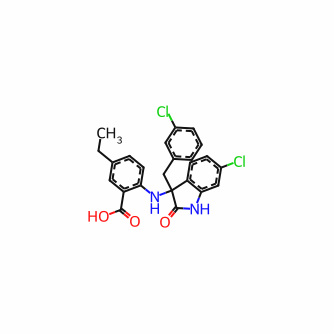 CCc1ccc(NC2(Cc3cccc(Cl)c3)C(=O)Nc3cc(Cl)ccc32)c(C(=O)O)c1